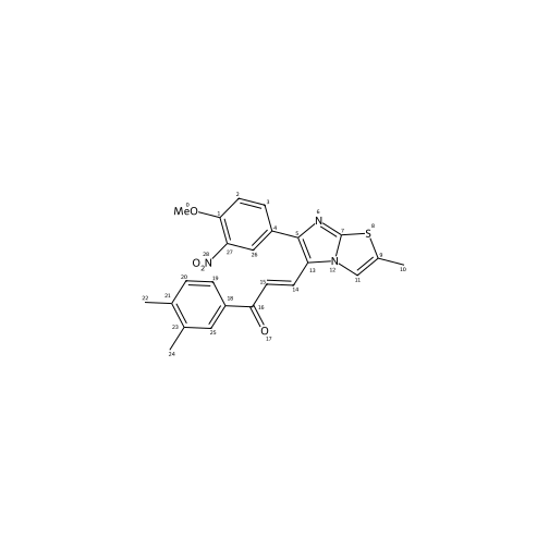 COc1ccc(-c2nc3sc(C)cn3c2/C=C/C(=O)c2ccc(C)c(C)c2)cc1[N+](=O)[O-]